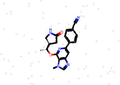 C[C@@H](Oc1nc(-c2ccc(C#N)cc2)cc2ncn(C)c12)[C@H]1CNC(=O)C1